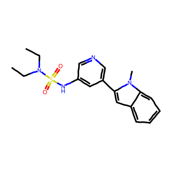 CCN(CC)S(=O)(=O)Nc1cncc(-c2cc3ccccc3n2C)c1